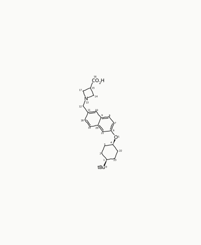 CC(C)(C)[C@H]1CC[C@@H](Oc2ccc3cc(CN4CC(C(=O)O)C4)ccc3c2)CC1